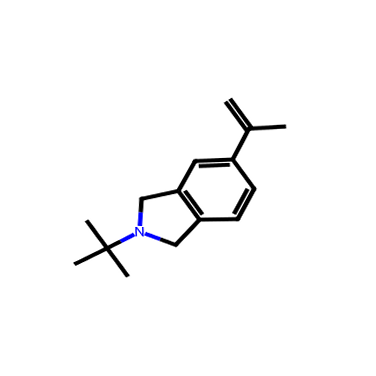 C=C(C)c1ccc2c(c1)CN(C(C)(C)C)C2